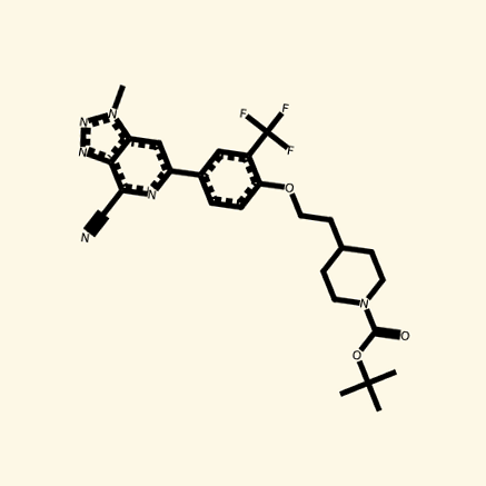 Cn1nnc2c(C#N)nc(-c3ccc(OCCC4CCN(C(=O)OC(C)(C)C)CC4)c(C(F)(F)F)c3)cc21